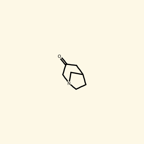 O=C1CC2CCN(C1)C2